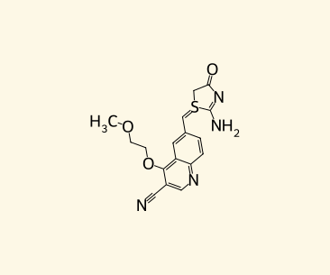 COCCOc1c(C#N)cnc2ccc(/C=S3/CC(=O)N=C3N)cc12